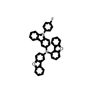 Fc1ccc(-n2c3ccccc3c3cc(N(c4ccc5oc6ccccc6c5c4)c4cccc5oc6ccccc6c45)ccc32)cc1